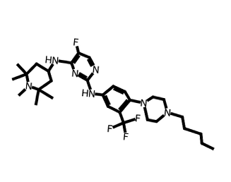 CCCCCN1CCN(c2ccc(Nc3ncc(F)c(NC4CC(C)(C)N(C)C(C)(C)C4)n3)cc2C(F)(F)F)CC1